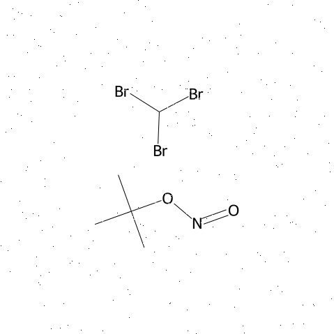 BrC(Br)Br.CC(C)(C)ON=O